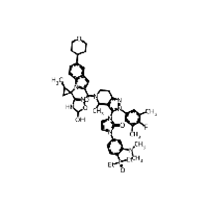 CCP(=O)(CC)c1ccc(-n2ccn(-c3c4c(nn3-c3cc(C)c(F)c(C)c3)CCN(C(=O)c3cc5cc(C6CCOCC6)ccc5n3C3(C5=NOC(O)N5)CC3C)C4C)c2=O)cc1N(C)C